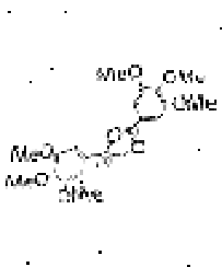 COc1cc([C@H]2OC[C@@H](c3cc(OC)c(OC)c(OC)c3)O2)cc(OC)c1OC